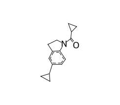 O=C(C1CC1)N1CCc2cc(C3CC3)ccc21